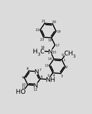 Cc1ccc(Nc2nccc(O)n2)cc1N(C)Cc1ccccc1